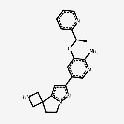 C[C@@H](Oc1cc(-c2cc3n(n2)CCC32CNC2)cnc1N)c1ccccn1